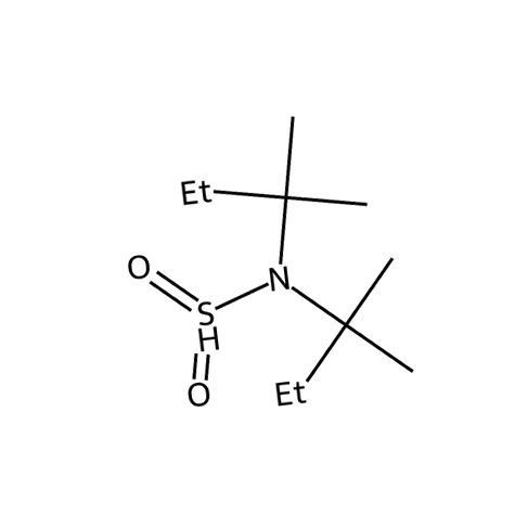 CCC(C)(C)N([SH](=O)=O)C(C)(C)CC